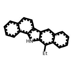 CCc1c2ccccc2cc2c1[nH]c1c3ccccc3ccc21